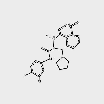 C[C@H](c1c[nH]c(=O)c2ccccc12)N(CC1CCCC1)C(=O)Nc1ccc(F)c(Cl)c1